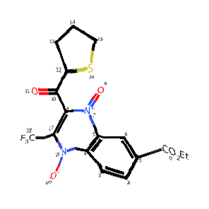 CCOC(=O)c1ccc2c(c1)[n+](=O)c(C(=O)C1CCCS1)c(C(F)(F)F)n2[O-]